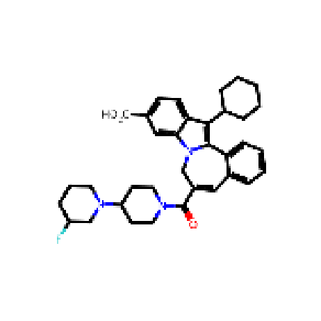 O=C(O)c1ccc2c(C3CCCCC3)c3n(c2c1)CC(C(=O)N1CCC(N2CCCC(F)C2)CC1)=Cc1ccccc1-3